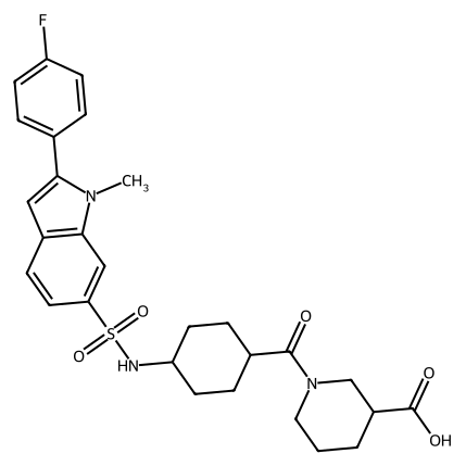 Cn1c(-c2ccc(F)cc2)cc2ccc(S(=O)(=O)NC3CCC(C(=O)N4CCCC(C(=O)O)C4)CC3)cc21